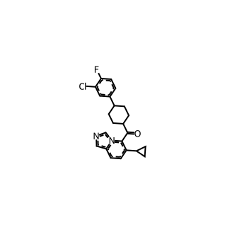 O=C(c1c(C2CC2)ccc2cncn12)C1CCC(c2ccc(F)c(Cl)c2)CC1